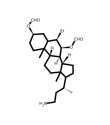 CC[C@@H]1C2C[C@H](OC=O)CCC2(C)[C@H]2CCC3(C)C([C@H](C)CCN)CC[C@H]3[C@@H]2[C@@H]1OC=O